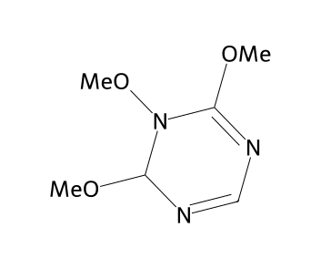 COC1=NC=NC(OC)N1OC